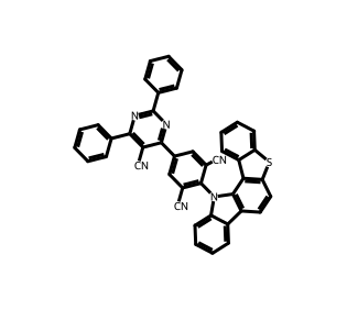 N#Cc1cc(-c2nc(-c3ccccc3)nc(-c3ccccc3)c2C#N)cc(C#N)c1-n1c2ccccc2c2ccc3sc4ccccc4c3c21